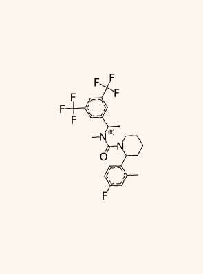 Cc1cc(F)ccc1C1CCCCN1C(=O)N(C)[C@H](C)c1cc(C(F)(F)F)cc(C(F)(F)F)c1